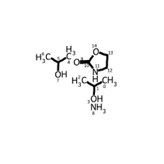 CC(C)O.CC(C)O.N.O=C1NCCO1